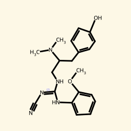 COc1ccccc1N/C(=N\C#N)NCC(Cc1ccc(O)cc1)N(C)C